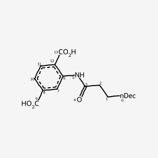 CCCCCCCCCCCCC(=O)Nc1cc(C(=O)O)ccc1C(=O)O